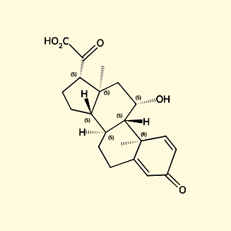 C[C@]12C[C@H](O)[C@H]3[C@@H](CCC4=CC(=O)C=C[C@@]43C)[C@@H]1CC[C@@H]2C(=O)C(=O)O